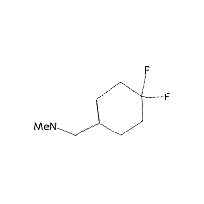 CNCC1CCC(F)(F)CC1